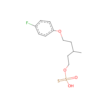 CC(CCOc1ccc(F)cc1)CCOS(=O)(O)=S